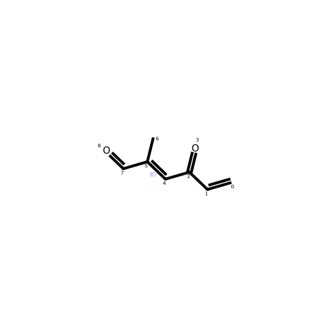 C=CC(=O)/C=C(\C)[C]=O